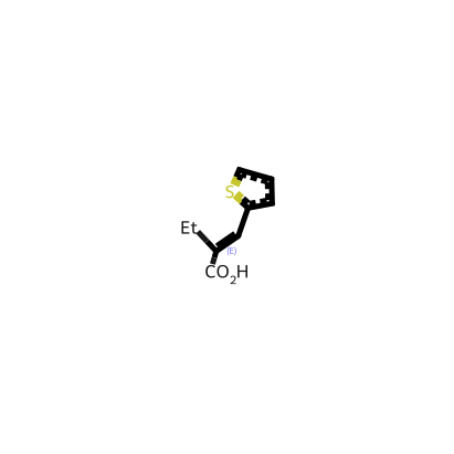 CC/C(=C\c1cccs1)C(=O)O